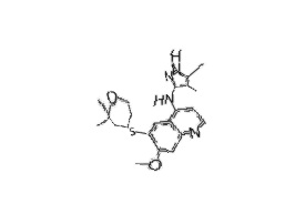 COc1cc2nccc(Nc3n[nH]c(C)c3C)c2cc1SC1CCOC(C)(C)C1